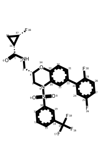 O=C(NC[C@H]1CN(S(=O)(=O)c2cccc(C(F)(F)F)c2)c2cc(-c3cc(F)ccc3F)ccc2O1)[C@@H]1C[C@@H]1F